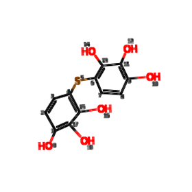 Oc1ccc(Sc2ccc(O)c(O)c2O)c(O)c1O